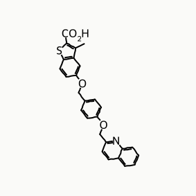 Cc1c(C(=O)O)sc2ccc(OCc3ccc(OCc4ccc5ccccc5n4)cc3)cc12